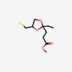 CCC1(CCC(=O)OC)OCC(CS)O1